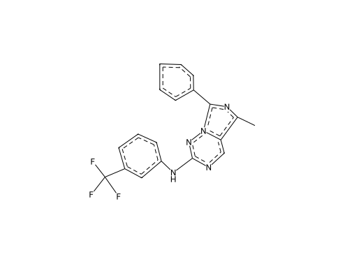 Cc1nc(-c2ccccc2)n2nc(Nc3cccc(C(F)(F)F)c3)ncc12